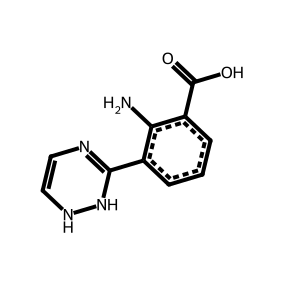 Nc1c(C(=O)O)cccc1C1=NC=CNN1